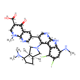 CNc1cc(F)c(F)c2c1[nH]c1ncc(-c3cnc4c(c3)c(=O)c(C(=O)O)cn4C)c(N3C[C@H]4CCC(N(C)C)[C@H]4C3)c12